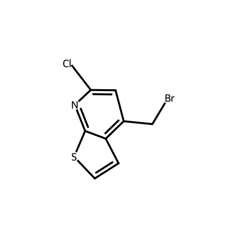 Clc1cc(CBr)c2ccsc2n1